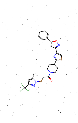 Cc1cc(C(F)(F)F)nn1SCC(=O)N1CCC(c2nc(-c3cc(C4=CCCC=C4)on3)cs2)CC1